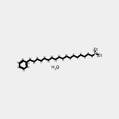 CCN(CC)CCCCCCCCCCCCCCCCCCc1ccccc1.O